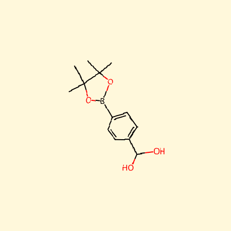 CC1(C)OB(c2ccc(C(O)O)cc2)OC1(C)C